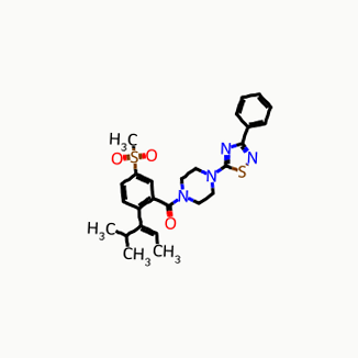 C/C=C(/c1ccc(S(C)(=O)=O)cc1C(=O)N1CCN(c2nc(-c3ccccc3)ns2)CC1)C(C)C